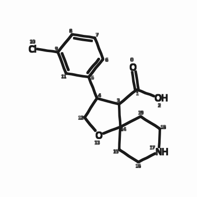 O=C(O)C1C(c2cccc(Cl)c2)COC12CCNCC2